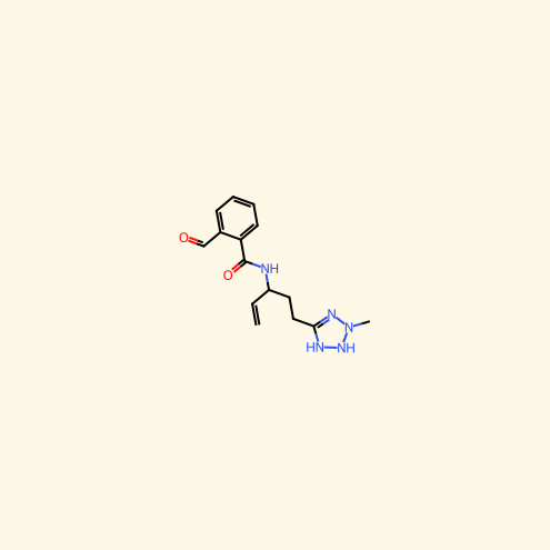 C=CC(CCC1=NN(C)NN1)NC(=O)c1ccccc1C=O